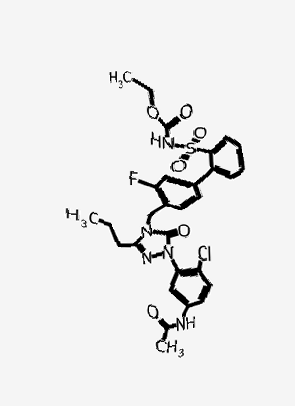 CCCc1nn(-c2cc(NC(C)=O)ccc2Cl)c(=O)n1Cc1ccc(-c2ccccc2S(=O)(=O)NC(=O)OCC)cc1F